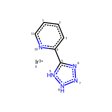 [Ir+3].c1ccc(-c2nn[nH][nH+]2)nc1